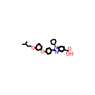 CC(C)CCOc1cccc(Oc2ccc(-c3nc4cc(C(=O)O)ccc4n3C3CCCCC3)cc2)c1